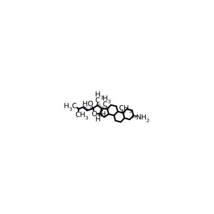 CC(C)/C=C/[C@@]1(O)O[C@H]2CC3C4CCC5C[C@H](N)CC[C@]5(C)C4CC[C@]3(C)[C@H]2[C@@H]1C